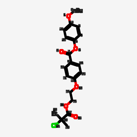 CCCCOc1ccc(OC(=O)c2ccc(OCCOC(=O)C(C)(Cl)CC)cc2)cc1